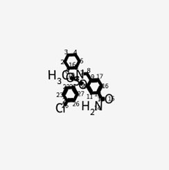 CC1CCCCC1N(Cc1ccc(C(N)=O)cc1)S(=O)(=O)c1ccc(Cl)cc1